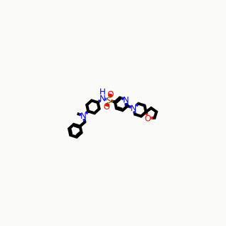 CN(Cc1ccccc1)C1CCC(NS(=O)(=O)c2ccc(N3CCC4(CCCO4)CC3)nc2)CC1